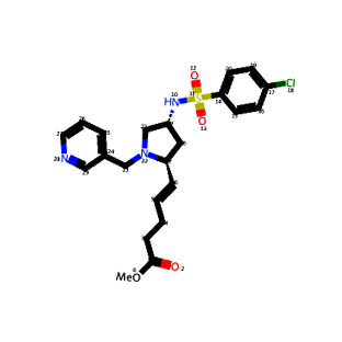 COC(=O)CCC=C[C@@H]1C[C@@H](NS(=O)(=O)c2ccc(Cl)cc2)CN1Cc1cccnc1